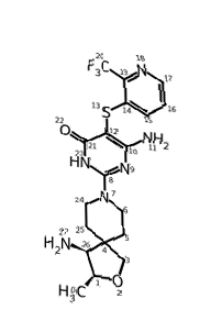 C[C@@H]1OCC2(CCN(c3nc(N)c(Sc4cccnc4C(F)(F)F)c(=O)[nH]3)CC2)[C@@H]1N